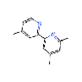 Cc1ccnc(-c2cc(C)cc(C)n2)c1